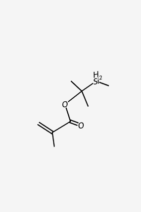 C=C(C)C(=O)OC(C)(C)[SiH2]C